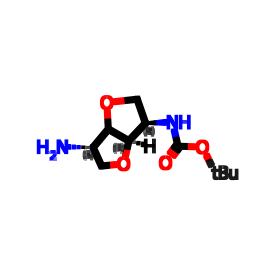 CC(C)(C)OC(=O)N[C@@H]1COC2[C@@H](N)CO[C@@H]21